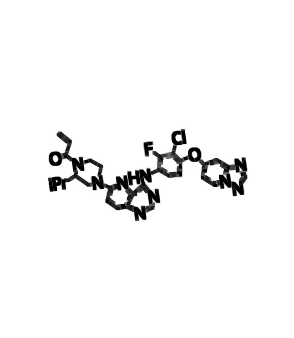 C=CC(=O)N1CCN(c2ccc3ncnc(Nc4ccc(Oc5ccn6ncnc6c5)c(Cl)c4F)c3n2)CC1C(C)C